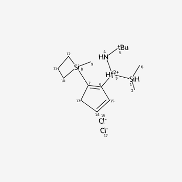 C[SiH](C)[Hf+2]([NH]C(C)(C)C)[C]1=C([Si]2(C)CCC2)CC=C1.[Cl-].[Cl-]